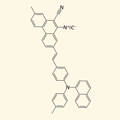 [C-]#[N+]c1c(C#N)c2cc(C)ccc2c2ccc(C=Cc3ccc(N(c4ccc(C)cc4)c4cccc5ccccc45)cc3)cc12